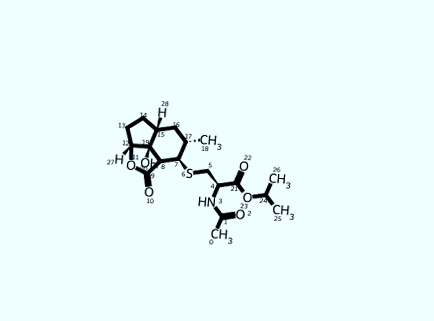 CC(=O)N[C@@H](CS[C@H]1C2C(=O)O[C@@H]3CC[C@H](C[C@@H]1C)[C@]23O)C(=O)OC(C)C